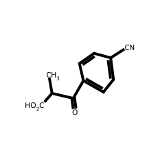 CC(C(=O)O)C(=O)c1ccc(C#N)cc1